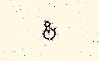 C=C1/C=C\C=C/CC/C=C\C=c2/c(=C)n1c1ccccc21